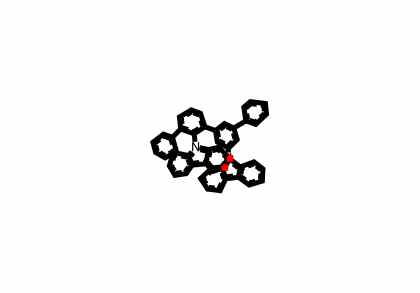 c1ccc(-c2cc(-c3cccc(-c4ccccc4)c3-n3c4ccccc4c4ccccc43)cc(-n3c4ccccc4c4ccccc43)c2)cc1